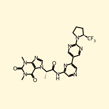 C[C@@H](C(=O)Nc1cncc(-c2cnc(N3CCC[C@H]3C(F)(F)F)nc2)n1)n1cnc2c1c(=O)n(C)c(=O)n2C